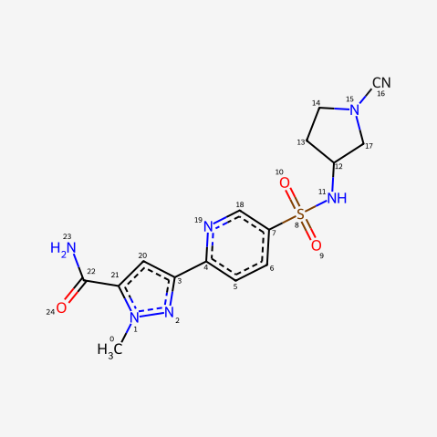 Cn1nc(-c2ccc(S(=O)(=O)NC3CCN(C#N)C3)cn2)cc1C(N)=O